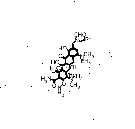 CC(C)CN(C=O)Cc1cc(N(C)C)c2c(c1O)C(=O)C1=C(O)[C@]3(C)C(=O)C(C(N)=O)=C(ON)C(N(C)C)[C@@H]3C[C@@H]1C2